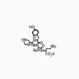 CC[C@H](C)[C@H](NC(=O)[C@H](Cc1ccc(O)cc1)NC(=O)[C@@H]1CNCCN1)C(=O)N[C@@H](CCC(C)(C)C)C(=O)O